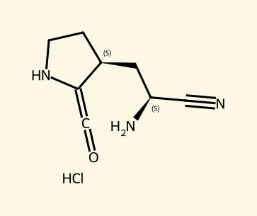 Cl.N#C[C@@H](N)C[C@@H]1CCNC1=C=O